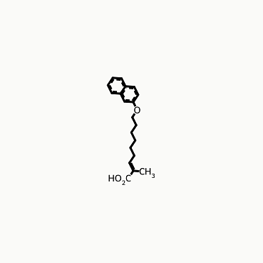 CC(=CCCCCCCOc1ccc2ccccc2c1)C(=O)O